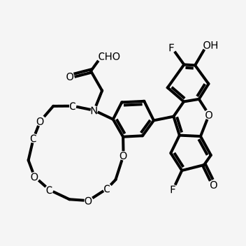 O=CC(=O)CN1CCOCCOCCOCCOc2cc(-c3c4cc(F)c(=O)cc-4oc4cc(O)c(F)cc34)ccc21